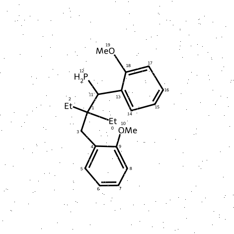 CCC(CC)(Cc1ccccc1OC)C(P)c1ccccc1OC